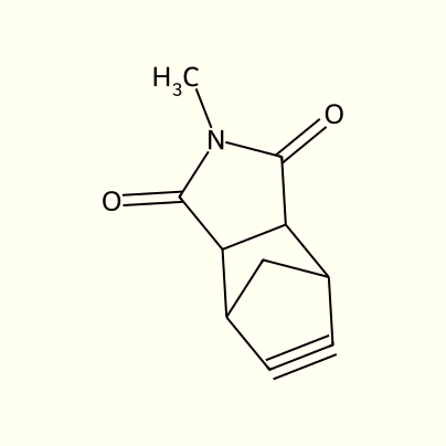 CN1C(=O)C2C3C#CC(C3)C2C1=O